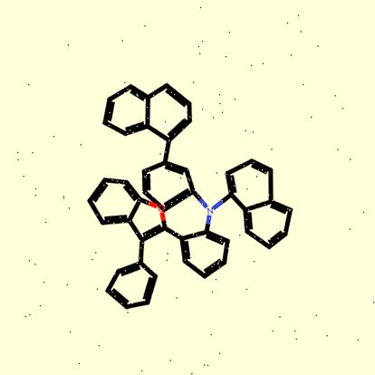 c1ccc(-c2c(-c3ccccc3N(c3cccc(-c4cccc5ccccc45)c3)c3cccc4ccccc34)oc3ccccc23)cc1